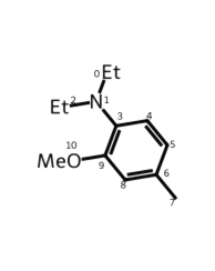 CCN(CC)c1ccc(C)cc1OC